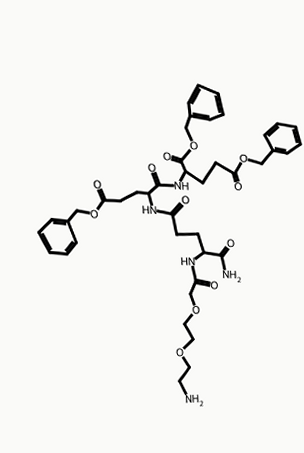 NCCOCCOCC(=O)NC(CCC(=O)NC(CCC(=O)OCc1ccccc1)C(=O)NC(CCC(=O)OCc1ccccc1)C(=O)OCc1ccccc1)C(N)=O